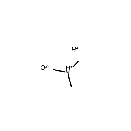 C[NH+](C)C.[H+].[O-2]